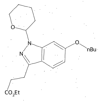 CCCCOc1ccc2c(CCC(=O)OCC)nn(C3CCCCO3)c2c1